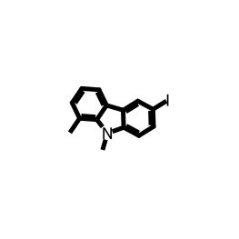 Cc1cccc2c3cc(I)ccc3n(C)c12